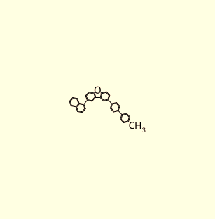 Cc1ccc(-c2ccc(-c3ccc4oc5ccc(-c6cccc7ccccc67)cc5c4c3)cc2)cc1